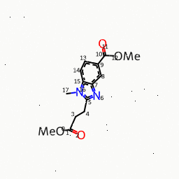 COC(=O)CCc1nc2cc(C(=O)OC)ccc2n1C